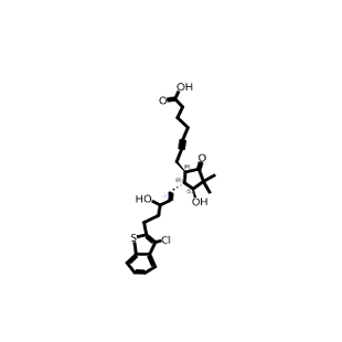 CC1(C)C(=O)[C@H](CC#CCCCC(=O)O)[C@@H](/C=C/C(O)CCc2sc3ccccc3c2Cl)[C@@H]1O